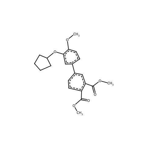 COC(=O)c1ccc(-c2ccc(OC)c(OC3CCCC3)c2)cc1C(=O)OC